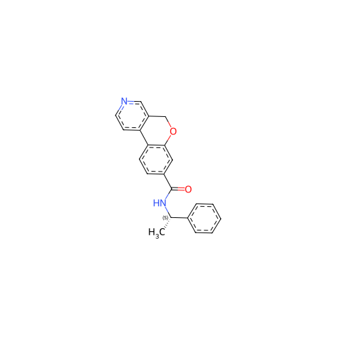 C[C@H](NC(=O)c1ccc2c(c1)OCc1cnccc1-2)c1ccccc1